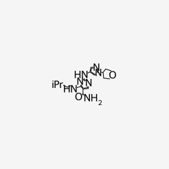 CC(C)CCNc1nc(Nc2cnn(C3CCOCC3)c2)ncc1C(N)=O